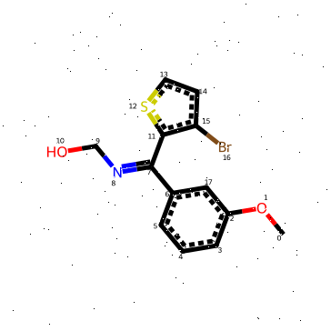 COc1cccc(/C(=N/CO)c2sccc2Br)c1